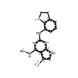 CC[C@H](C)Nc1nc(Nc2cc[c]c3c2OCC3)nc2[nH]cc(C(F)(F)F)c12